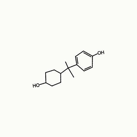 CC(C)(c1ccc(O)cc1)C1CCC(O)CC1